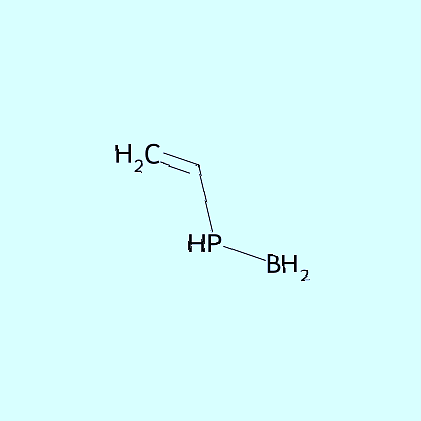 BPC=C